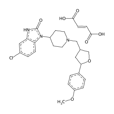 COc1ccc(C2CC(CN3CCC(n4c(=O)[nH]c5cc(Cl)ccc54)CC3)CO2)cc1.O=C(O)C=CC(=O)O